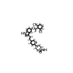 CC(Oc1ccc2[nH]nc(/C=C/c3ccc(N4CCS(=N)(=O)CC4)nc3)c2c1)c1c(Cl)cncc1Cl